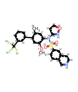 COc1cc(-c2cccc(C(F)(F)F)c2)c(C)cc1N(c1ccon1)S(=O)(=O)c1ccc2cnccc2c1